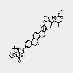 COC(=O)N[C@H](C(=O)N1CCC[C@H]1c1nc2c(ccc3c4c(ccc32)-c2ccc(-c3cnc([C@]5(C(C)(C)C)CCCN5C(=O)O)[nH]3)cc2CO4)[nH]1)C(C)C